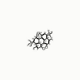 Cc1cc(Cl)c2c3c(Cl)cc(C)c4c([Si](C)(C)C)cc(Cl)c(c5c(Cl)cc([Si](C)(C)C)c1c25)c43